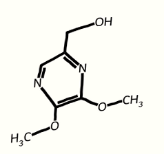 COc1ncc(CO)nc1OC